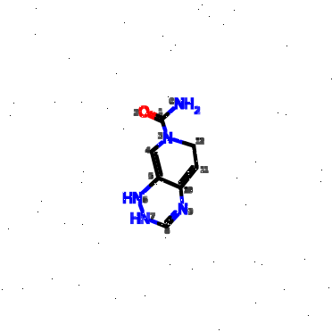 NC(=O)N1C=C2NNC=NC2=CC1